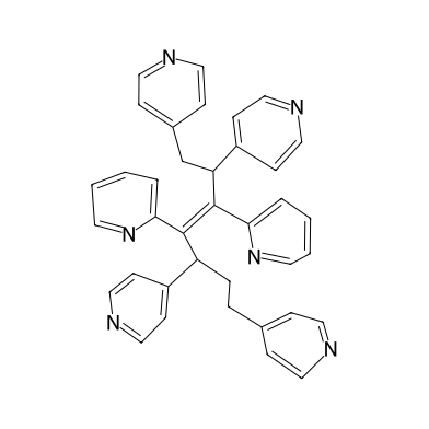 c1ccc(C(=C(c2ccccn2)C(Cc2ccncc2)c2ccncc2)C(CCc2ccncc2)c2ccncc2)nc1